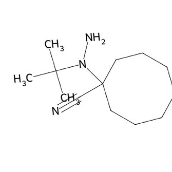 CC(C)(C)N(N)C1(C#N)CCCCCCC1